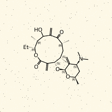 C=C1C(=O)[C@H](C)C[C@H](C)[C@H](O[C@@H]2O[C@H](C)C[C@H](N(C)C)C2=C)C(=C)C(=O)O[C@H](CC)[C@H](C)C1O